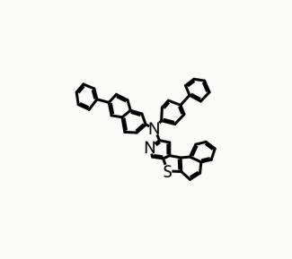 c1ccc(-c2ccc(N(c3ccc4cc(-c5ccccc5)ccc4c3)c3cc4c(cn3)sc3ccc5ccccc5c34)cc2)cc1